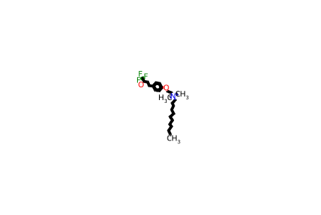 CCCCCCCCCCCC[N+](C)(C)CCOc1ccc(CCC(=O)C(F)(F)F)cc1